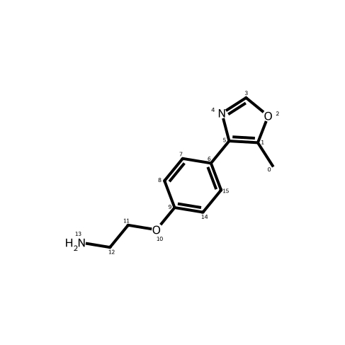 Cc1ocnc1-c1ccc(OCCN)cc1